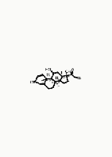 C[C@]12C=CC(=O)C=C1CC[C@@H]1[C@@H]2C(O)C[C@@]2(C)[C@H]1CC[C@]2(O)C(=O)CBr